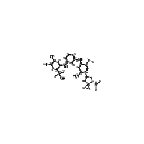 COc1cc(N2C[C@H](N(C)C)C3(CC3)C2)c(N)cc1Nc1nccc(Nc2cc(Cl)c(F)cc2C(C)(C)O)n1